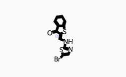 O=C1/C(=C/Nc2ncc(Br)s2)Sc2ccccc21